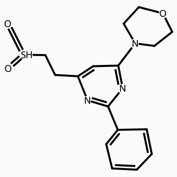 O=[SH](=O)CCc1cc(N2CCOCC2)nc(-c2ccccc2)n1